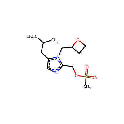 CCOC(=O)C(C)Cc1cnc(COS(C)(=O)=O)n1CC1CCO1